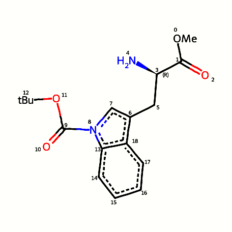 COC(=O)[C@H](N)Cc1cn(C(=O)OC(C)(C)C)c2ccccc12